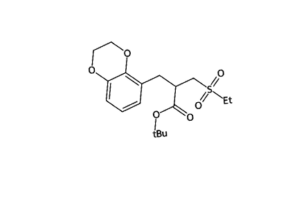 CCS(=O)(=O)CC(Cc1cccc2c1OCCO2)C(=O)OC(C)(C)C